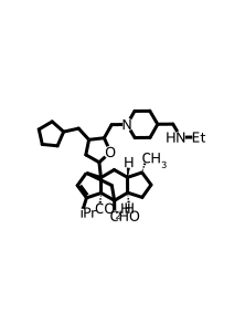 CCNCC1CCN(CC2OC(C34C[C@@H]5[C@H](C)CC[C@H]5C5(C=O)CC3C=C(C(C)C)[C@@]45C(=O)O)CC2CC2CCCC2)CC1